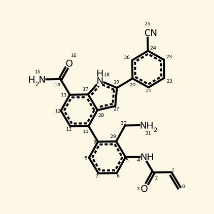 C=CC(=O)Nc1cccc(-c2ccc(C(N)=O)c3[nH]c(-c4cccc(C#N)c4)cc23)c1CN